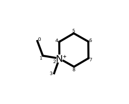 CC[N+]1(C)CCCCC1